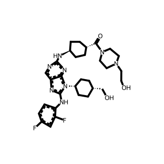 O=C([C@H]1CC[C@H](Nc2ncc3nc(Nc4ccc(F)cc4F)n([C@H]4CC[C@@H](CO)CC4)c3n2)CC1)N1CCN(CCO)CC1